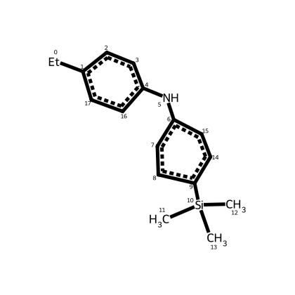 CCc1ccc(Nc2ccc([Si](C)(C)C)cc2)cc1